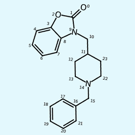 O=c1oc2ccccc2n1CC1CCN(Cc2ccccc2)CC1